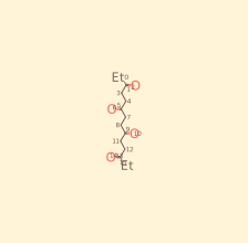 [CH2]CC(=O)CCC(=O)CCC(=O)CCC(=O)CC